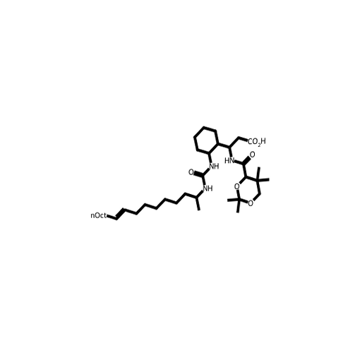 CCCCCCCCC=CCCCCCCC(C)NC(=O)NC1CCCCC1C(CC(=O)O)NC(=O)C1OC(C)(C)OCC1(C)C